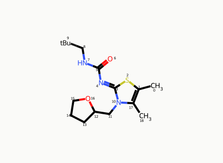 Cc1sc(=NC(=O)NCC(C)(C)C)n(CC2CCCO2)c1C